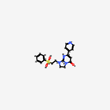 O=c1cc(-c2ccncc2)nc2n1CCN2CCS(=O)(=O)c1ccccc1